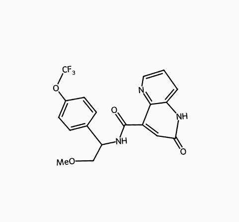 COCC(NC(=O)c1cc(=O)[nH]c2cccnc12)c1ccc(OC(F)(F)F)cc1